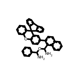 NC(OC(N)c1c(-c2ccc3c(c2)C2(c4ccccc4O3)c3ccccc3-c3ccccc32)ccc2ccccc12)c1ccccc1